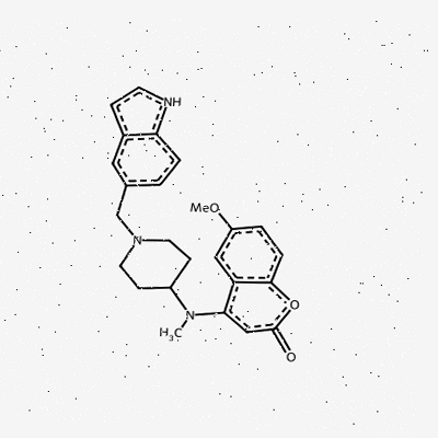 COc1ccc2oc(=O)cc(N(C)C3CCN(Cc4ccc5[nH]ccc5c4)CC3)c2c1